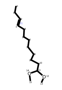 CC/C=C/CCCCCCCC(OC)OC